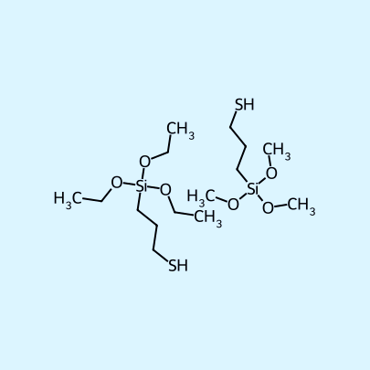 CCO[Si](CCCS)(OCC)OCC.CO[Si](CCCS)(OC)OC